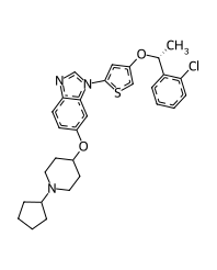 C[C@@H](Oc1csc(-n2cnc3ccc(OC4CCN(C5CCCC5)CC4)cc32)c1)c1ccccc1Cl